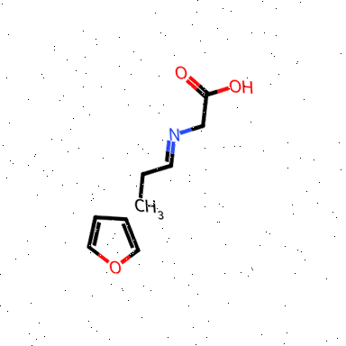 CCC=NCC(=O)O.c1ccoc1